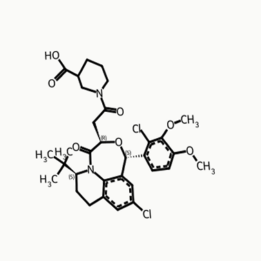 COc1ccc([C@H]2O[C@H](CC(=O)N3CCCC(C(=O)O)C3)C(=O)N3c4c(cc(Cl)cc42)CC[C@H]3C(C)(C)C)c(Cl)c1OC